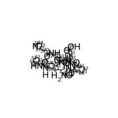 CCCC[C@H](NC(=O)C1(NC(=O)[C@H](CCCC(=O)O)NC(=O)[C@H](CCCCNC(=O)/C=C/c2cccnc2)NC(=O)Cc2ccc(NC(=O)Nc3ccccc3C)cc2)Cc2ccccc2C1)C(N)=O